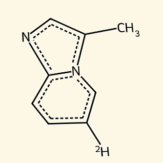 [2H]c1ccc2ncc(C)n2c1